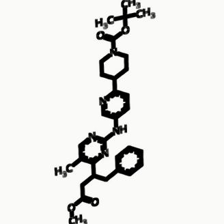 COC(=O)CC(Cc1ccccc1)c1nc(Nc2ccc(C3CCN(C(=O)OC(C)(C)C)CC3)nc2)ncc1C